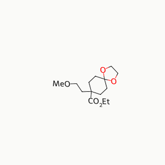 CCOC(=O)C1(CCOC)CCC2(CC1)OCCO2